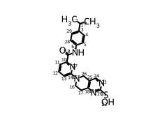 CC(C)c1ccc(NC(=O)c2cccc(N3CCc4nc(SO)ncc4C3)n2)cc1